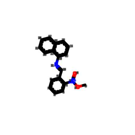 CO[N+](=O)c1ccccc1/C=N/c1cccc2ccccc12